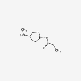 CCC(=O)ON1CCC(NC)CC1